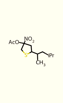 CC(=O)OC1([N+](=O)[O-])CSC(C(C)CC(C)C)C1